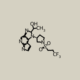 CC(O)C1N=c2cnc3c(c2N1[C@H]1CCN(S(=O)(=O)CCC(F)(F)F)C1)C=CN=3